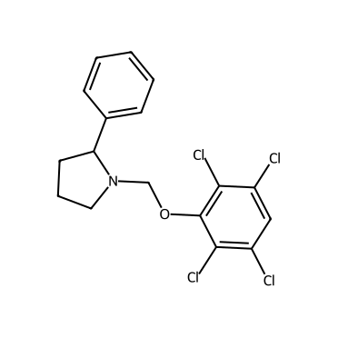 Clc1cc(Cl)c(Cl)c(OCN2CCCC2c2ccccc2)c1Cl